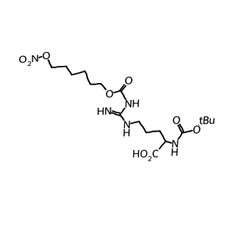 CC(C)(C)OC(=O)NC(CCCNC(=N)NC(=O)OCCCCCCO[N+](=O)[O-])C(=O)O